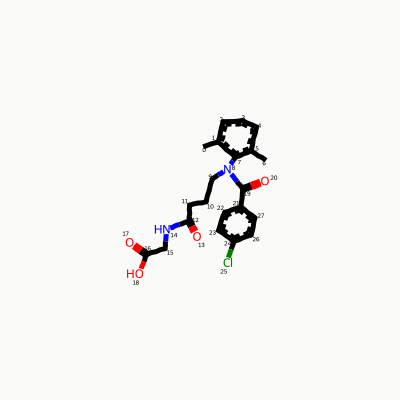 Cc1cccc(C)c1N(CCCC(=O)NCC(=O)O)C(=O)c1ccc(Cl)cc1